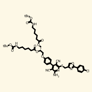 CC(C)(C)OC(=O)NCCCCCC(=O)OC[C@H](COc1ccc(-c2c(C#N)c(N)nc(SCc3coc(-c4ccc(Cl)cc4)n3)c2C#N)cc1)OC(=O)CCCCCNC(=O)OC(C)(C)C